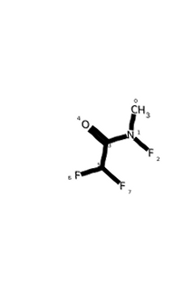 CN(F)C(=O)C(F)F